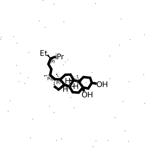 CC[C@H](CC[C@@H](C)[C@H]1CC[C@H]2[C@@H]3CCC4(O)CC(O)CC[C@]4(C)[C@H]3CC[C@]12C)C(C)C